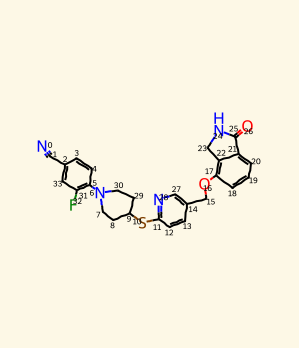 N#Cc1ccc(N2CCC(Sc3ccc(COc4cccc5c4CNC5=O)cn3)CC2)c(F)c1